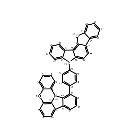 c1ccc2c(c1)Oc1cccc3c4cccc(-c5ccc(-n6c7ccccc7c7c8oc9ccccc9c8ccc76)cc5)c4n-2c13